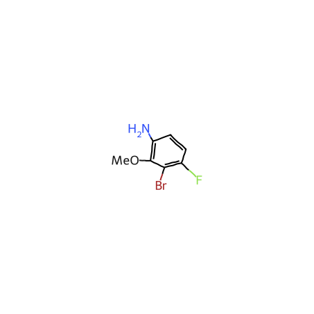 COc1c(N)ccc(F)c1Br